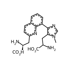 Cn1cnc(-c2cccc3ccc(C[C@H](N)C(=O)O)nc23)c1CC(N)C(=O)O